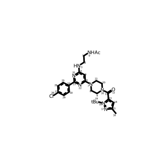 CC(=O)NCCNc1cc(N2CCN(C(=O)c3cc(C)nn3C(C)(C)C)CC2)nc(-c2ccc(Cl)cc2)n1